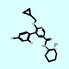 O=C(N[C@@H]1CCCC[C@H]1O)c1cnc(OCC2CC2)c(-c2ccc(Cl)cc2Cl)c1